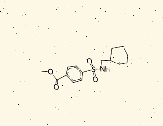 COC(=O)c1ccc(S(=O)(=O)NCC2CCCCC2)cc1